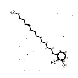 CCCC/C=C/CCCCCCCCCc1cccc(O)c1O